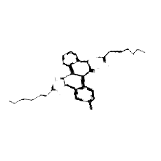 CCCCCCC(=O)OC1=c2ccccc2=C2C(=O)C(OC(=O)CCCCCC)=c3cc(C)ccc3=C2C1=O